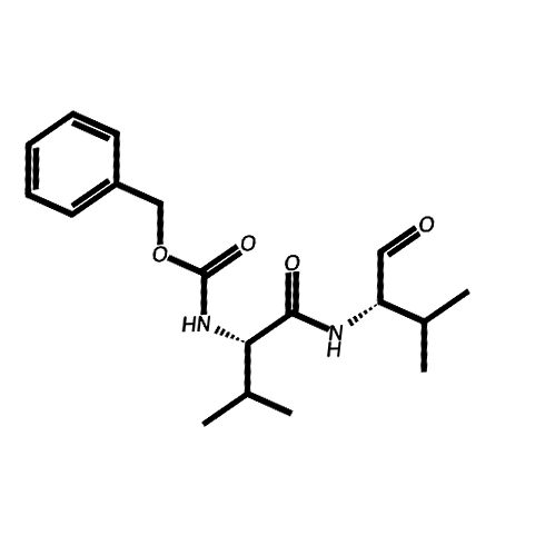 CC(C)[C@H](NC(=O)OCc1ccccc1)C(=O)N[C@H](C=O)C(C)C